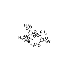 COC(=O)c1cc(C(=O)OC)cc(S(=O)(=O)[O-])c1.COC(=O)c1cc(C(=O)OC)cc(S(=O)(=O)[O-])c1.[Mg+2]